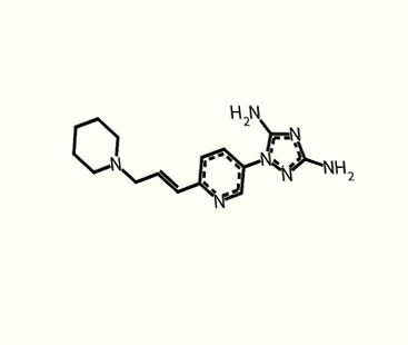 Nc1nc(N)n(-c2ccc(C=CCN3CCCCC3)nc2)n1